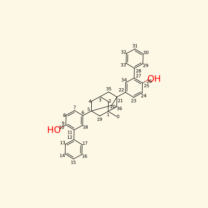 CC12CC3CC(c4ccc(O)c(-c5ccccc5)c4)(C1)CC(c1ccc(O)c(-c4ccccc4)c1)(C3)C2